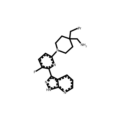 CC(C)CC1(CN)CCN(c2ccc(F)c(-c3n[nH]c4ncccc34)n2)CC1